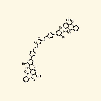 O=C(CC(=O)OCc1ccc(-c2cc(Br)c(Nc3ccc(O)c4c3C(=O)c3ccccc3C4=O)c(Br)c2)cc1)OCc1ccc(-c2cc(Br)c(Nc3ccc(O)c4c3C(=O)c3ccccc3C4=O)c(Br)c2)cc1